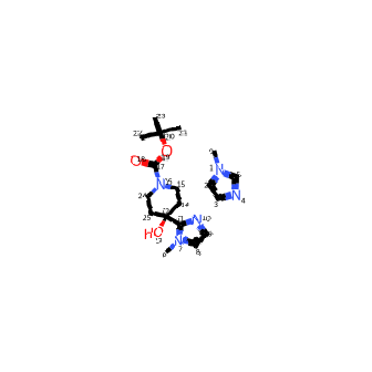 Cn1ccnc1.Cn1ccnc1C1(O)CCN(C(=O)OC(C)(C)C)CC1